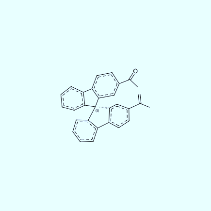 C=C(C)c1ccc2c(c1)[C@]1(c3ccccc3-2)c2ccccc2-c2ccc(C(C)=O)cc21